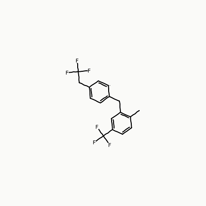 Cc1ccc(C(F)(F)F)cc1Cc1[c]cc(CC(F)(F)F)cc1